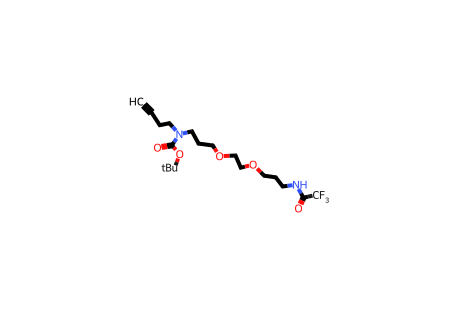 C#CCCN(CCCOCCOCCCNC(=O)C(F)(F)F)C(=O)OC(C)(C)C